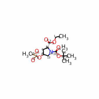 CCOC(=O)[C@H]1C[C@H](OS(C)(=O)=O)CN1C(=O)OC(C)(C)C